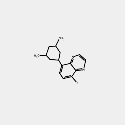 CC1CC(N)CC(c2ccc(F)c3nccnc23)C1